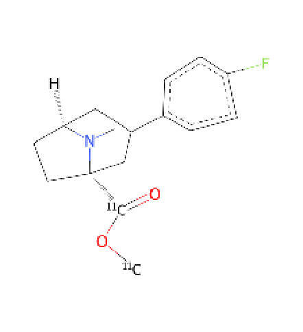 CN1[C@H]2CC[C@]1([11C](=O)O[11CH3])CC(c1ccc(F)cc1)C2